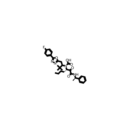 CCCC[C@@H](C(=O)C(=O)N[C@H](C)c1ccccc1)N(C(=O)O)C(Cc1nnc(-c2ccc(F)cc2)o1)C(C)(C)C